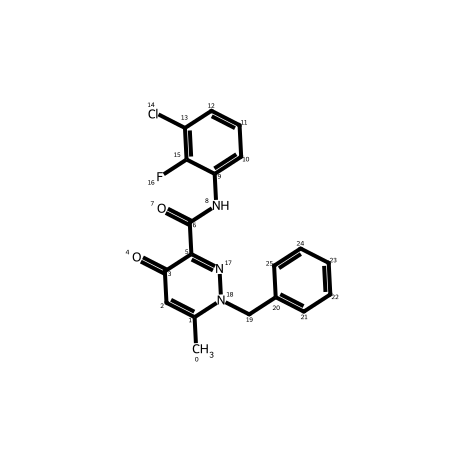 Cc1cc(=O)c(C(=O)Nc2cccc(Cl)c2F)nn1Cc1ccccc1